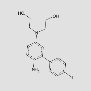 Nc1ccc(N(CCO)CCO)cc1-c1ccc(I)cc1